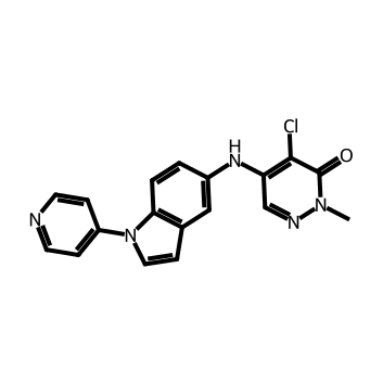 Cn1ncc(Nc2ccc3c(ccn3-c3ccncc3)c2)c(Cl)c1=O